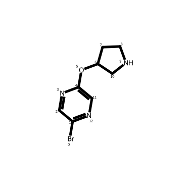 Brc1cnc(OC2CCNC2)cn1